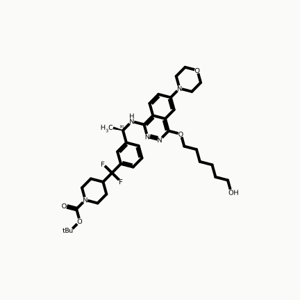 C[C@@H](Nc1nnc(OCCCCCCO)c2cc(N3CCOCC3)ccc12)c1cccc(C(F)(F)C2CCN(C(=O)OC(C)(C)C)CC2)c1